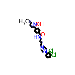 C\C=C/C=C\C(=N\O)c1ccc(C(=O)NC/C=C/CN2CCN(c3cccc(Cl)c3Cl)CC2)cc1